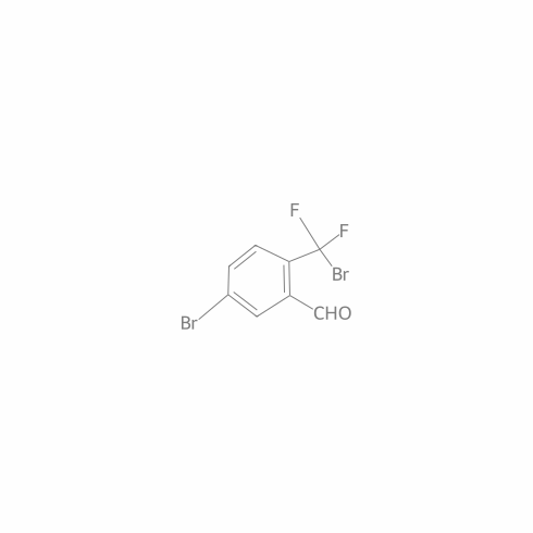 O=Cc1cc(Br)ccc1C(F)(F)Br